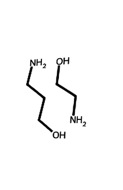 NCCCO.NCCO